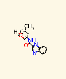 CC(C)C[C@@H](C=O)NC(=O)c1cnc2ccccc2n1